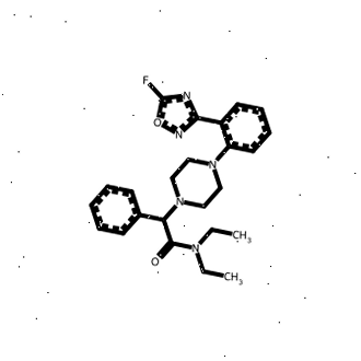 CCN(CC)C(=O)C(c1ccccc1)N1CCN(c2ccccc2-c2noc(F)n2)CC1